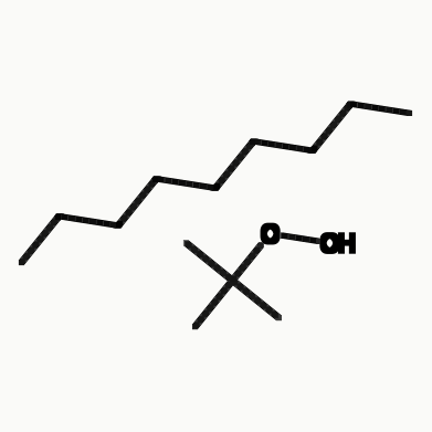 CC(C)(C)OO.CCCCCCCCC